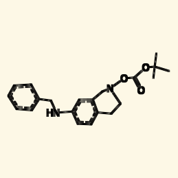 CC(C)(C)OC(=O)ON1CCc2ccc(NCc3ccccc3)cc2C1